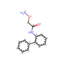 NOCC(=O)Nc1ccccc1-c1ccccc1